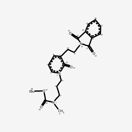 CN(CCCn1cccc(CCN2C(=O)c3ccccc3C2=O)c1=O)C(=O)OC(C)(C)C